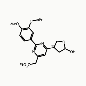 CCCOc1cc(-c2nc(CC(=O)OCC)cc([C@H]3COB(O)C3)n2)ccc1OC